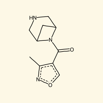 Cc1nocc1C(=O)N1C2CNCC1C2